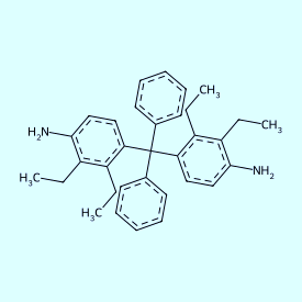 CCc1c(N)ccc(C(c2ccccc2)(c2ccccc2)c2ccc(N)c(CC)c2CC)c1CC